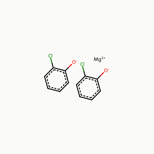 [Mg+2].[O-]c1ccccc1Cl.[O-]c1ccccc1Cl